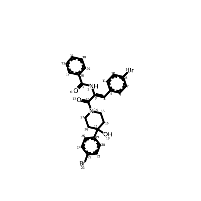 O=C(NC(=Cc1ccc(Br)cc1)C(=O)N1CCC(O)(c2ccc(Br)cc2)CC1)c1ccccc1